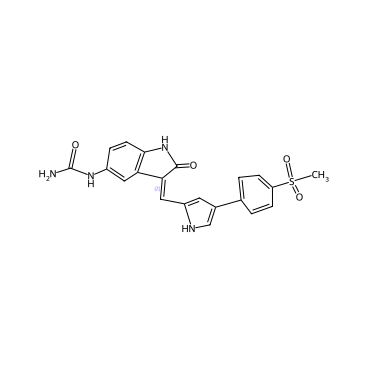 CS(=O)(=O)c1ccc(-c2c[nH]c(/C=C3\C(=O)Nc4ccc(NC(N)=O)cc43)c2)cc1